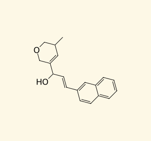 CC1C=C(C(O)C=Cc2ccc3ccccc3c2)COC1